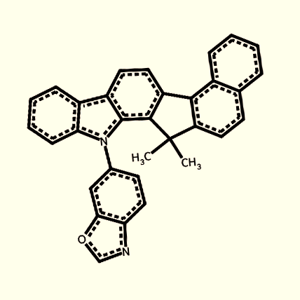 CC1(C)c2ccc3ccccc3c2-c2ccc3c4ccccc4n(-c4ccc5ncoc5c4)c3c21